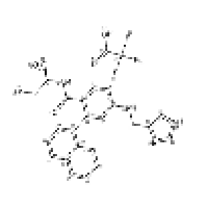 CC(C)C[C@H](NC(=O)c1ccc(NCc2c[nH]cn2)cc1-c1cccc2ccccc12)C(=O)O.O=C(O)C(F)(F)F